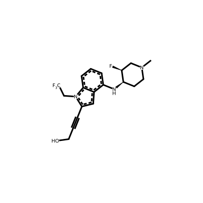 CN1CC[C@@H](Nc2cccc3c2cc(C#CCO)n3CC(F)(F)F)[C@@H](F)C1